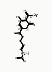 C=C(C)N/C=C/CCC(C)C1=CC(C)=C(C(=C)C(C)C)C(=C)C1